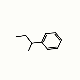 C[CH]C(I)c1ccccc1